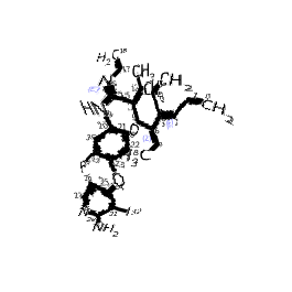 C=C/C=C(C=C)/C(=C/C)C(=O)C(=C(C)C)/C(=N\C=C)Nc1ccc(Oc2ccnc(N)c2I)c(F)c1